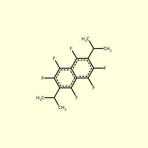 CC(C)c1c(F)c(F)c2c(F)c(C(C)C)c(F)c(F)c2c1F